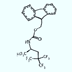 O=C(N[C@@H](CC(C(F)(F)F)(C(F)(F)F)C(F)(F)F)C(=O)O)OCC1c2ccccc2-c2ccccc21